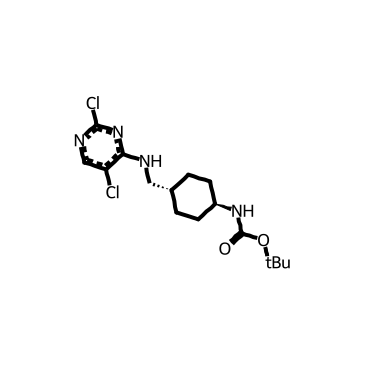 CC(C)(C)OC(=O)N[C@H]1CC[C@H](CNc2nc(Cl)ncc2Cl)CC1